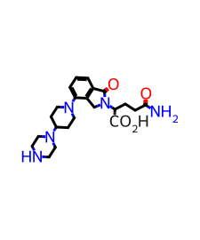 NC(=O)CCC(C(=O)O)N1Cc2c(cccc2N2CCC(N3CCNCC3)CC2)C1=O